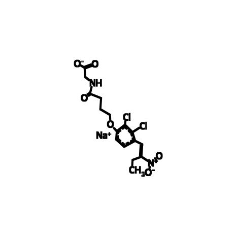 CC/C(=C\c1ccc(OCCCC(=O)NCC(=O)[O-])c(Cl)c1Cl)[N+](=O)[O-].[Na+]